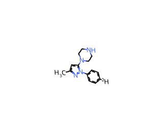 [2H]c1ccc(-n2nc(C)cc2N2CCNCC2)cc1